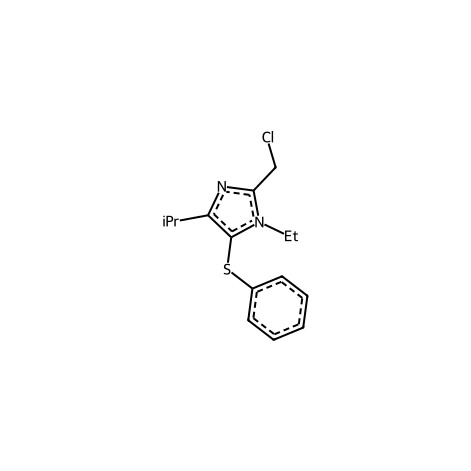 CCn1c(CCl)nc(C(C)C)c1Sc1ccccc1